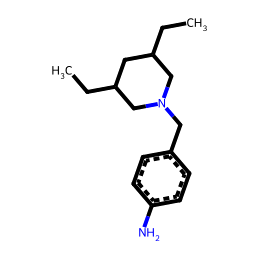 CCC1CC(CC)CN(Cc2ccc(N)cc2)C1